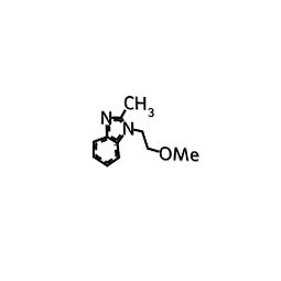 COCCn1c(C)nc2ccccc21